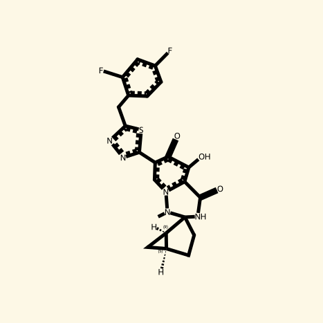 CN1n2cc(-c3nnc(Cc4ccc(F)cc4F)s3)c(=O)c(O)c2C(=O)NC12CC[C@H]1C[C@H]12